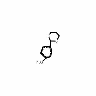 CCCCc1ccc(C2SCCCS2)cc1